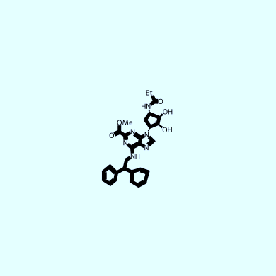 CCC(=O)N[C@H]1C[C@@H](n2cnc3c(NCC(c4ccccc4)c4ccccc4)nc(C(=O)OC)nc32)[C@H](O)[C@@H]1O